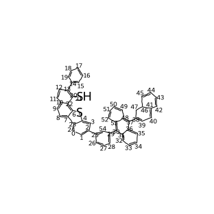 C/C=C(\C=C1\Sc2c(ccc3ccc(-c4ccccc4)c(S)c23)C1C)c1cccc(-c2c3ccccc3c(C3=CC=C4C=CC=CC4C3)c3ccccc23)c1